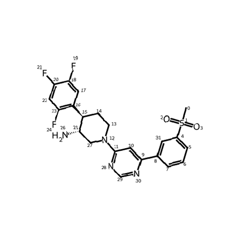 CS(=O)(=O)c1cccc(-c2cc(N3CC[C@H](c4cc(F)c(F)cc4F)[C@@H](N)C3)ncn2)c1